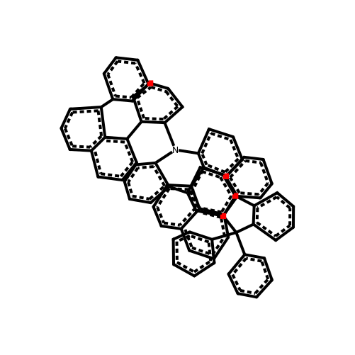 c1ccc(-c2cccc3cccc(-c4ccccc4N(c4ccccc4-c4ccc5c(c4)C(c4ccccc4)(c4ccccc4)c4ccccc4-5)c4ccccc4-c4cccc5cccc(-c6ccccc6)c45)c23)cc1